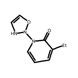 CCc1cccn(N2NC=CO2)c1=O